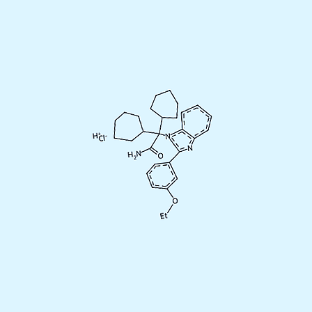 CCOc1cccc(-c2nc3ccccc3n2C(C(N)=O)(C2CCCCC2)C2CCCCC2)c1.[Cl-].[H+]